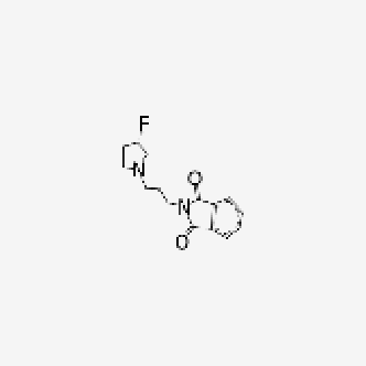 O=C1c2ccccc2C(=O)N1CCCN1CC[C@H](F)C1